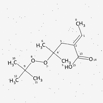 C/C=C(\CC(C)(C)OOC(C)(C)C)C(=O)O